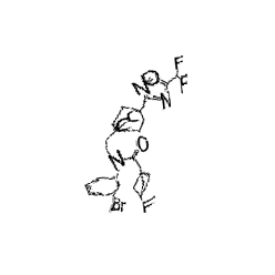 O=C(N(CC12CCC(c3noc(C(F)F)n3)(CC1)CC2)c1cccc(Br)c1)C12CC(F)(C1)C2